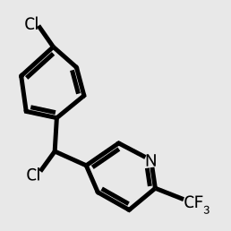 FC(F)(F)c1ccc(C(Cl)c2ccc(Cl)cc2)cn1